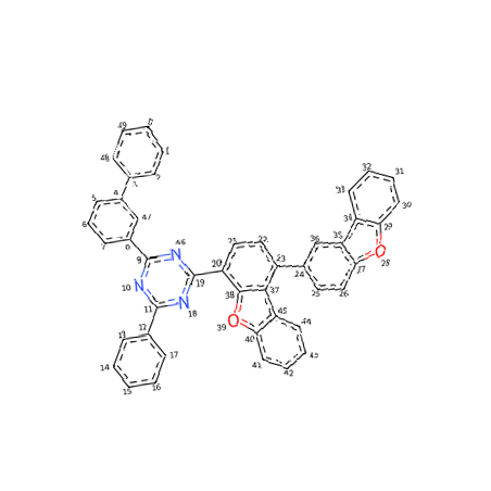 c1ccc(-c2cccc(-c3nc(-c4ccccc4)nc(-c4ccc(-c5ccc6oc7ccccc7c6c5)c5c4oc4ccccc45)n3)c2)cc1